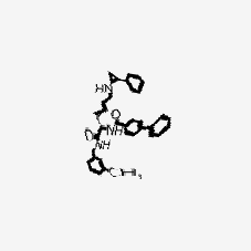 Cc1cccc(CNC(=O)[C@H](CCCCN[C@@H]2C[C@H]2c2ccccc2)NC(=O)c2ccc(-c3ccccc3)cc2)c1